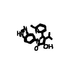 Cc1cccc(C2C(C(C)C)=C(O)C(=O)N2c2ccc3[nH]cnc3c2)n1